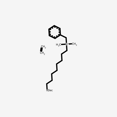 C=C.CCCCCCCCCCCCCCCCCC[N+](C)(C)Cc1ccccc1